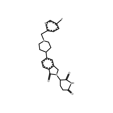 O=C1CCC(N2Cc3cc(C4CCN(Cc5ccc(F)cn5)CC4)ccc3C2=O)C(=O)N1